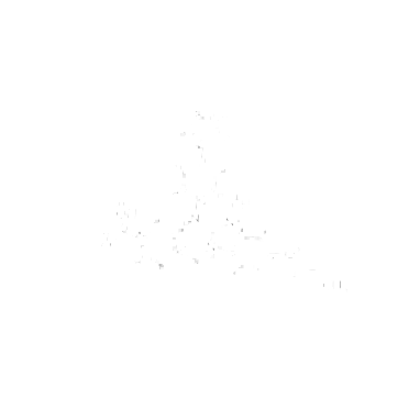 CCCOc1ccc2c(c1)n(C)c(=Nc1ccc(-c3ccsc3)cc1)n2Cc1ccc(C(=O)O)cc1